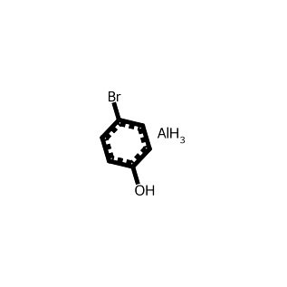 Oc1ccc(Br)cc1.[AlH3]